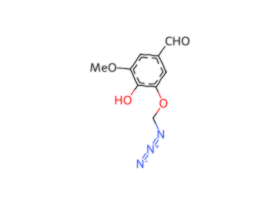 COc1cc(C=O)cc(OCN=[N+]=[N-])c1O